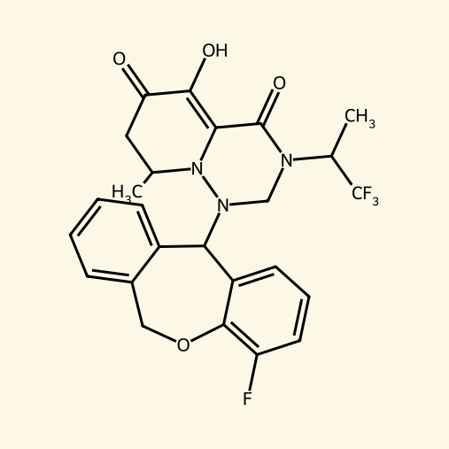 CC1CC(=O)C(O)=C2C(=O)N(C(C)C(F)(F)F)CN(C3c4ccccc4COc4c(F)cccc43)N21